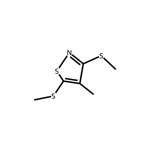 CSc1nsc(SC)c1C